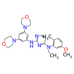 CCN(c1ccnc(Nc2cc(N3CCOCC3)cc(N3CCOCC3)c2)n1)c1cc(OC)ccc1C